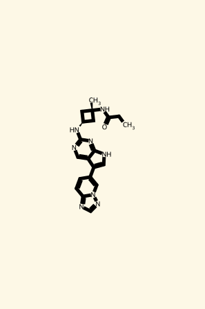 CCC(=O)N[C@]1(C)C[C@H](Nc2ncc3c(-c4ccc5ncnn5c4)c[nH]c3n2)C1